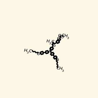 CCCCCCOc1ccc(-c2ccc(N(c3ccc(-c4ccc(OCCCCCC)cc4)cc3)c3ccc(-c4cc(C)c(-c5ccc6cc(C(=O)OC)sc6c5)s4)cc3)cc2)cc1